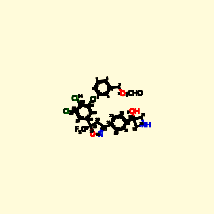 O=COCc1ccccc1.OC1(c2ccc(C3=NO[C@](c4cc(Cl)c(Cl)c(Cl)c4)(C(F)(F)F)C3)cc2)CNC1